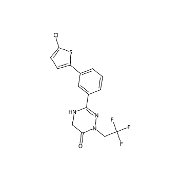 O=C1CNC(c2cccc(-c3ccc(Cl)s3)c2)=NN1CC(F)(F)F